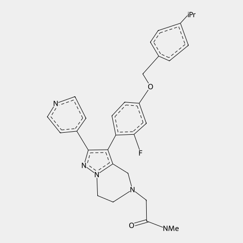 CNC(=O)CN1CCn2nc(-c3ccncc3)c(-c3ccc(OCc4ccc(C(C)C)cc4)cc3F)c2C1